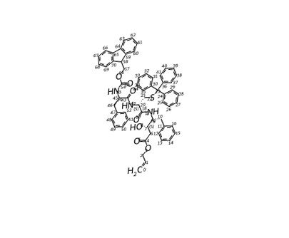 C=CCOC(=O)C[C@H](O)[C@@H](Cc1ccccc1)NC(=O)[C@@H](CSC(c1ccccc1)(c1ccccc1)c1ccccc1)NC(=O)[C@@H](Cc1ccccc1)NC(=O)OCC1c2ccccc2-c2ccccc21